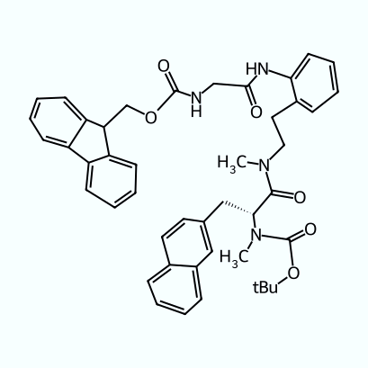 CN(CCc1ccccc1NC(=O)CNC(=O)OCC1c2ccccc2-c2ccccc21)C(=O)[C@@H](Cc1ccc2ccccc2c1)N(C)C(=O)OC(C)(C)C